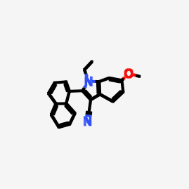 CCn1c(-c2cccc3ccccc23)c(C#N)c2ccc(OC)cc21